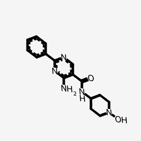 Nc1nc(-c2ccccc2)ncc1C(=O)NC1CCN(O)CC1